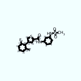 CS(=O)(=O)Nc1cccc(NC(=O)c2cc(-c3c(F)cccc3F)cs2)c1